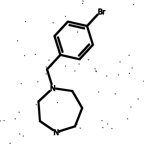 Brc1ccc(CN2CCC[N]CC2)cc1